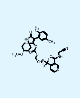 CCOC(=O)OC1=C(c2cc(C)ccc2C)C(=O)N[C@]12CC[C@@H](OC)CC2.N#CCNC(=O)c1cnccc1C(F)(F)F